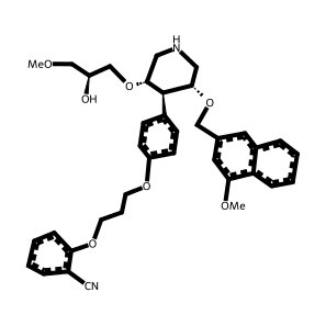 COC[C@H](O)CO[C@@H]1CNC[C@H](OCc2cc(OC)c3ccccc3c2)[C@H]1c1ccc(OCCCOc2ccccc2C#N)cc1